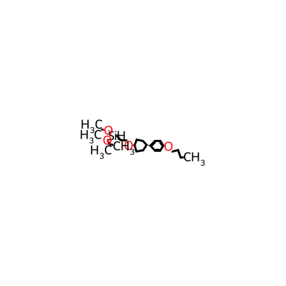 CCCCOc1ccc([C@H]2CC[C@H](OCCC[SiH](OC(C)C)OC(C)C)CC2)cc1